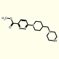 COC(=O)c1ccc(N2CCC(CN3CCNCC3)CC2)nn1